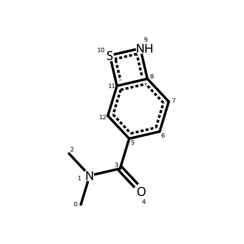 CN(C)C(=O)c1ccc2[nH]sc2c1